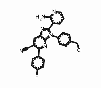 N#Cc1cc2nc(-c3cccnc3N)n(-c3ccc(CCl)cc3)c2nc1-c1ccc(F)cc1